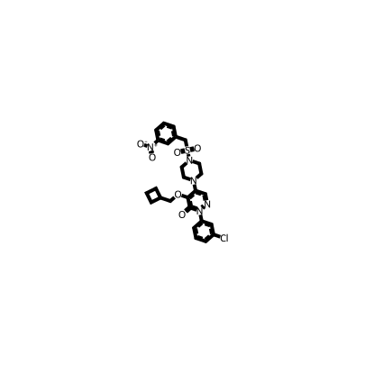 O=c1c(OCC2CCC2)c(N2CCN(S(=O)(=O)Cc3cccc([N+](=O)[O-])c3)CC2)cnn1-c1cccc(Cl)c1